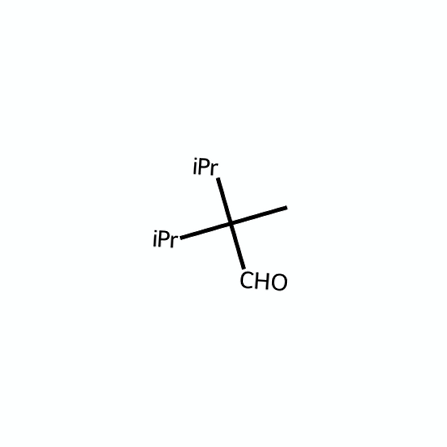 CC(C)C(C)(C=O)C(C)C